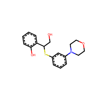 OCC(Sc1cccc(N2CCOCC2)c1)c1ccccc1O